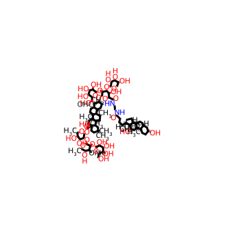 COC1C(O)C(C)OC(OC2C(OC(=O)[C@]34CCC(C)(C)CC3C3=CCC5[C@@]6(C)CC[C@H](OC7OC(C(=O)NCCNC(=O)CC[C@@H](C)[C@H]8CC[C@H]9[C@@H]%10CC[C@@H]%11C[C@H](O)CC[C@]%11(C)[C@H]%10C[C@H](O)[C@]89C)C(O)C(OC8OCC(O)C(O)C8O)C7OC7OC(CO)C(O)C(O)C7O)[C@@](C)(C=O)C6CC[C@@]5(C)[C@]3(C)C[C@H]4O)OC(C)C(O)C2O)C1OC1OC(CO)C(O)C(O)C1O